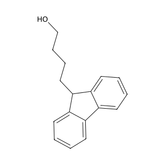 OCCCCC1c2ccccc2-c2ccccc21